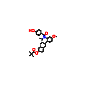 COc1ccc(C2CCc3cc(OC(=O)C(C)(C)C)ccc3C2)c(N(C(=O)c2ccc(O)cc2)C(C)C)c1